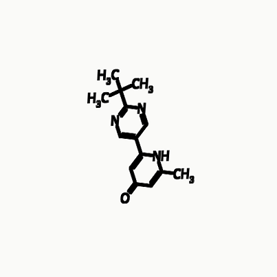 Cc1cc(=O)cc(-c2cnc(C(C)(C)C)nc2)[nH]1